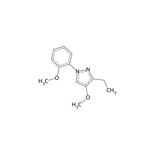 CCc1nn(-c2ccccc2OC)cc1OC